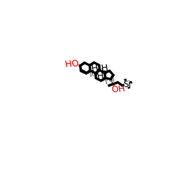 CC(O)(CC[Si](C)(C)C)[C@H]1CC[C@H]2[C@@H]3CCC4CC(O)C=C[C@]4(C)[C@H]3CC[C@]12C